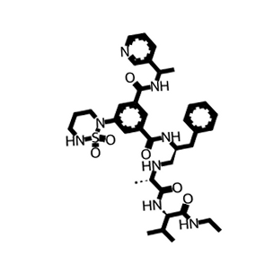 CCNC(=O)[C@@H](NC(=O)[C@H](C)NC[C@H](Cc1ccccc1)NC(=O)c1cc(C(=O)NC(C)c2cccnc2)cc(N2CCCNS2(=O)=O)c1)C(C)C